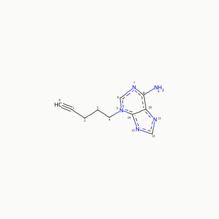 C#CCCCn1cnc(N)c2ncnc1-2